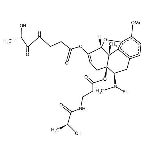 CCN(C)[C@@H]1Cc2ccc(OC)c3c2[C@@]2(C)[C@@H](O3)C(OC(=O)CCNC(=O)[C@H](C)O)=CC[C@@]12OC(=O)CCNC(=O)[C@H](C)O